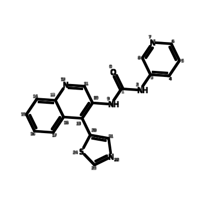 O=C(Nc1cccnc1)Nc1cnc2ccccc2c1-c1cncs1